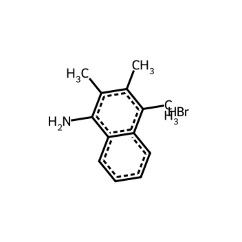 Br.Cc1c(C)c(N)c2ccccc2c1C